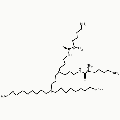 CCCCCCCCCCCCCCCCCCN(CCCCCCCCCCCCCCCCCC)CCCN(CCCNC(=O)[C@@H](N)CCCCN)CCCNC(=O)[C@@H](N)CCCCN